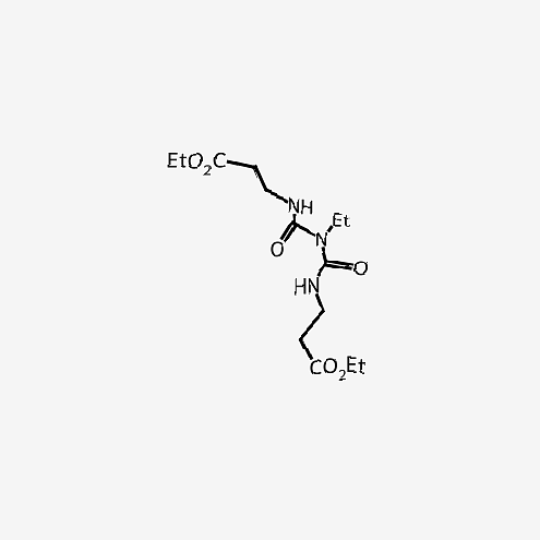 CCOC(=O)CCNC(=O)N(CC)C(=O)NCCC(=O)OCC